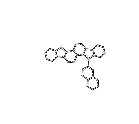 c1ccc2cc(-n3c4ccccc4c4ccc5c(ccc6c7ccccc7sc65)c43)ccc2c1